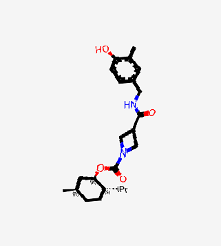 Cc1cc(CNC(=O)C2CN(C(=O)O[C@@H]3C[C@H](C)CC[C@H]3C(C)C)C2)ccc1O